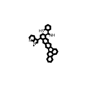 Cn1cc(-c2ccc(C(=N)c3ccccc3S)c3cc4cc5c(cc4cc23)-c2cc3ccccc3c3cccc-5c23)c2cccnc21